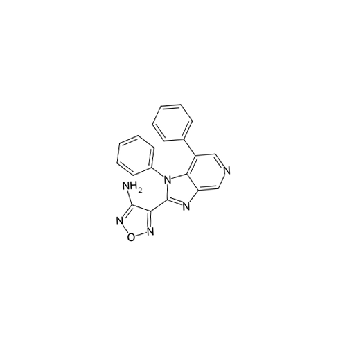 Nc1nonc1-c1nc2cncc(-c3ccccc3)c2n1-c1ccccc1